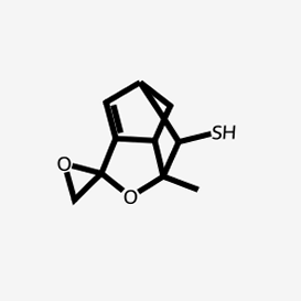 CC12OC3(CO3)C3=CC(CC31)C2S